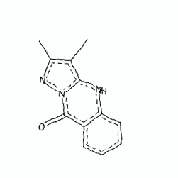 Cc1nn2c(=O)c3ccccc3[nH]c2c1C